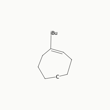 CCC(C)C1=CCCCCCC1